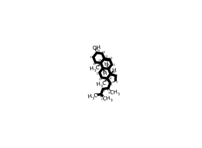 CC(C)C[C@@H](C)[C@H]1CC[C@H]2[C@@H]3CC=C4C[C@@H](O)CC[C@]4(C)[C@H]3CC[C@]12C